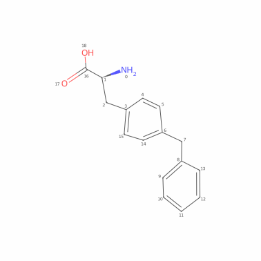 N[C@@H](Cc1ccc(Cc2ccccc2)cc1)C(=O)O